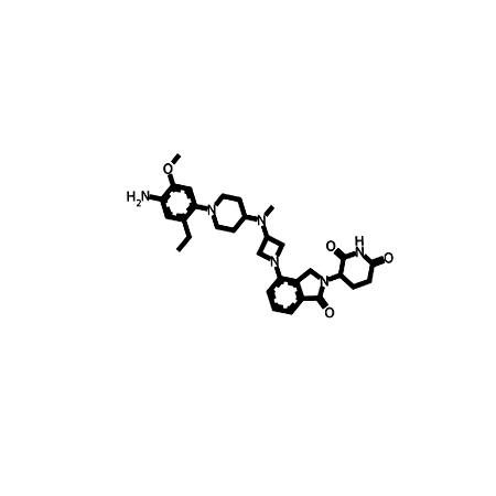 CCc1cc(N)c(OC)cc1N1CCC(N(C)C2CN(c3cccc4c3CN(C3CCC(=O)NC3=O)C4=O)C2)CC1